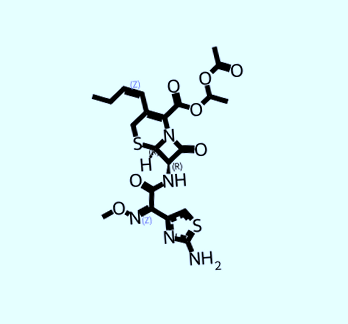 CC/C=C\C1=C(C(=O)OC(C)OC(C)=O)N2C(=O)[C@@H](NC(=O)/C(=N\OC)c3csc(N)n3)[C@H]2SC1